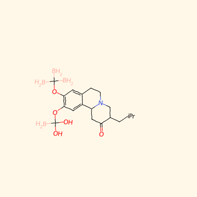 BC(B)(B)Oc1cc2c(cc1OC(B)(O)O)C1CC(=O)C(CC(C)C)CN1CC2